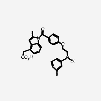 CCN(CCOc1ccc(C(=O)n2c(C)cc3c(CC(=O)O)cccc32)cc1)c1cccc(C)c1